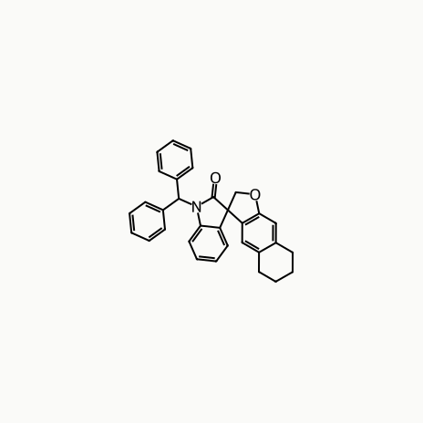 O=C1N(C(c2ccccc2)c2ccccc2)c2ccccc2C12COc1cc3c(cc12)CCCC3